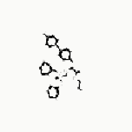 O=C(O)CCNC(=O)[C@H](Cc1ccc(-c2ccc(Cl)cc2)cc1)NCP(=O)(Oc1ccccc1)Oc1ccccc1